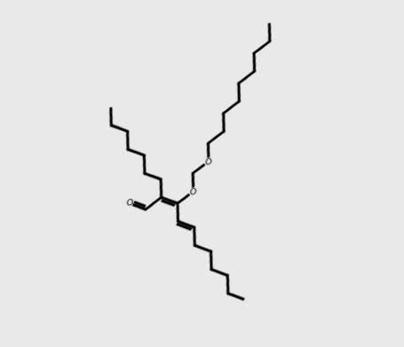 CCCCCCC=CC(OCOCCCCCCCCC)=C(C=O)CCCCCCC